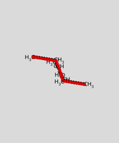 CCCCCCCCCCCCCCCCCC[N+](C)(C)CCCC(=O)NCCSSCCNC(=O)CCC[N+](C)(C)CCCCCCCCCCCCCCCCCC